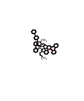 C=C/C=C\C1=C2N(c3ccccc3-c3ccccc3)C3=CC=C(c4ccc(-c5ccccc5)cc4)C(C)/C3=C/C3=C(C=C)C2(c2cc4c5ccccc5c5ccccc5c4cc23)c2ccccc21